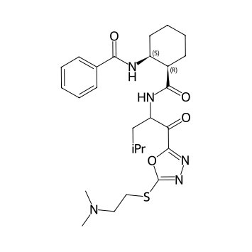 CC(C)CC(NC(=O)[C@@H]1CCCC[C@@H]1NC(=O)c1ccccc1)C(=O)c1nnc(SCCN(C)C)o1